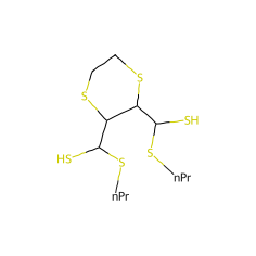 CCCSC(S)C1SCCSC1C(S)SCCC